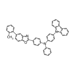 Cc1ccccc1-c1ccc2oc(-c3ccc(N(c4ccccc4)c4ccc(-n5c6ccccc6c6ccccc65)cc4)cc3)nc2c1